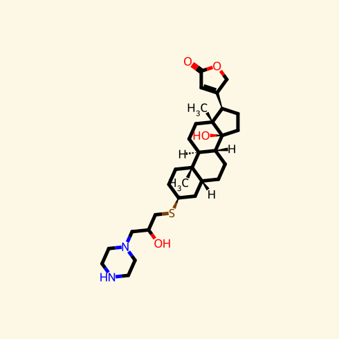 C[C@]12CC[C@H](SCC(O)CN3CCNCC3)C[C@H]1CC[C@@H]1[C@@H]2CC[C@]2(C)[C@@H](C3=CC(=O)OC3)CC[C@]12O